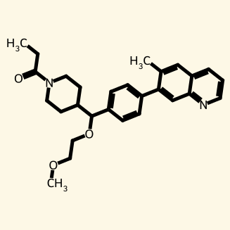 CCC(=O)N1CCC(C(OCCOC)c2ccc(-c3cc4ncccc4cc3C)cc2)CC1